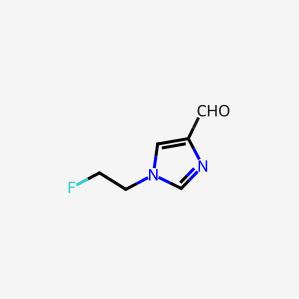 O=Cc1cn(CCF)cn1